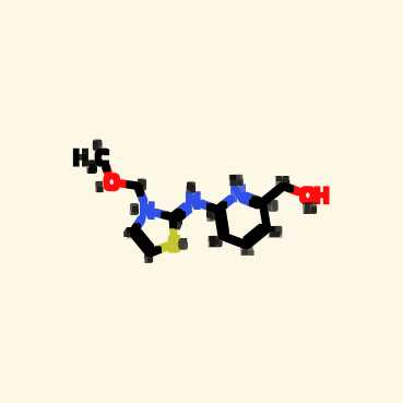 COCn1ccs/c1=N\c1cccc(CO)n1